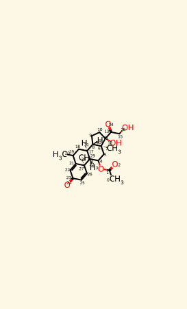 CC(=O)OC1C[C@@]2(C)[C@@H](CC[C@]2(O)C(=O)CO)[C@@H]2CC(C)C3=CC(=O)C=C[C@]3(C)[C@@H]12